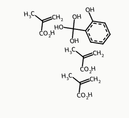 C=C(C)C(=O)O.C=C(C)C(=O)O.C=C(C)C(=O)O.Oc1ccccc1C(O)(O)O